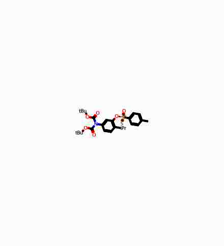 Cc1ccc([S@@](=O)(=S)Oc2cc(N(C(=O)OC(C)(C)C)C(=O)OC(C)(C)C)ccc2C(C)C)cc1